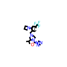 CC(C)C1CN(Cc2ccc(C(F)(F)F)cc2N2CCCC2)CCN1C(=O)n1cncn1